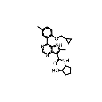 Cc1ccc(OCC2CC2)c(-c2ncnc3c(C(=O)N[C@@H]4CCC[C@H]4O)c(C)[nH]c23)c1